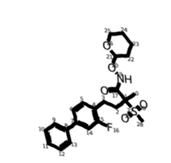 CC(CCc1ccc(-c2ccccc2)cc1F)(C(=O)NOC1CCCCO1)S(C)(=O)=O